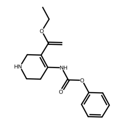 C=C(OCC)C1=C(NC(=O)Oc2ccccc2)CCNC1